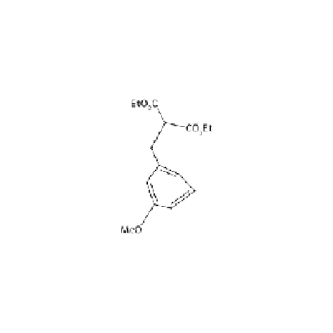 CCOC(=O)C(Cc1cccc(OC)c1)C(=O)OCC